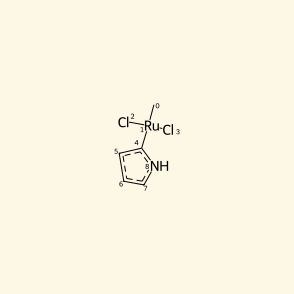 [CH3][Ru]([Cl])([Cl])[c]1ccc[nH]1